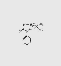 CC(C)(N)CC1CNC(=O)N1c1ccccc1